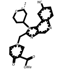 COC(=O)c1cn(Cc2nc3cnc4ccc(C#N)cc4c3n2C2CCO[C@H](C)C2)ccc1=O